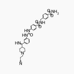 N#CCCN1CCC(C(=N)c2cccc(NC(=O)Nc3ccc(S(=O)(=O)NCc4ccc(S(N)(=O)=O)cc4)cc3)c2)CC1